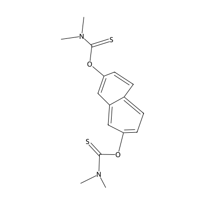 CN(C)C(=S)Oc1ccc2ccc(OC(=S)N(C)C)cc2c1